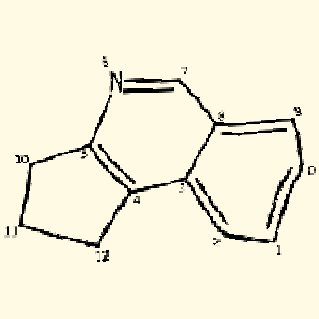 c1ccc2c3c(ncc2c1)CCC3